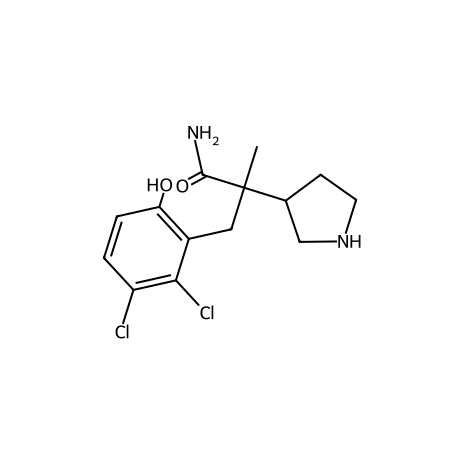 CC(Cc1c(O)ccc(Cl)c1Cl)(C(N)=O)C1CCNC1